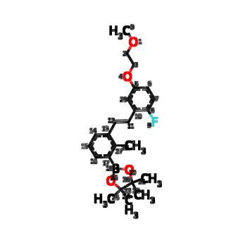 COCCOc1ccc(F)c(/C=C/c2cccc(B3OC(C)(C)C(C)(C)O3)c2C)c1